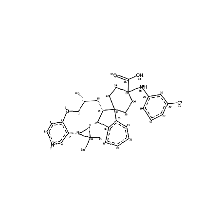 C[C@@H](COc1ccncc1[C@@H]1CC1(C)C)C[C@H]1Cc2ccccc2C12CCC(Nc1cccc(Cl)c1)(C(=O)O)CC2